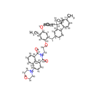 CCCCCCCCOc1cc(Cc2ccc3c(c2)C(CCCCCCCC)(CCCCCCCC)c2cc(C)ccc2-3)c(OCCN2C(=O)c3cccc4c(N5CCOCC5)ccc(c34)C2=O)cc1C